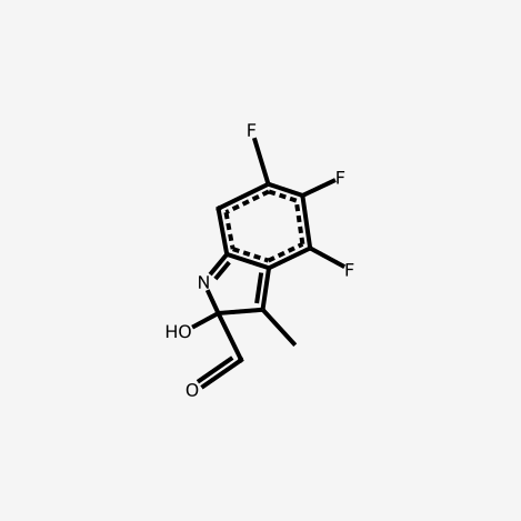 CC1=c2c(F)c(F)c(F)cc2=NC1(O)C=O